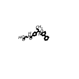 CCCC(c1ccc(C(=O)NCCC(=O)O)cc1)c1nc2cc(-c3ccccc3)ccc2o1